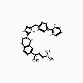 CN(C)CCN(C=O)c1ccc2c(c1)CN(c1ncc(Cc3ccc(-c4ncccn4)cc3)s1)CC2